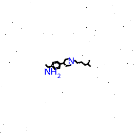 CC(C)CCCCN1CCC(c2ccc(C(C)N)cc2)CC1